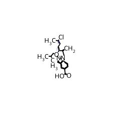 C=C(Cn1ncc2cc(C(=O)O)ccc21)/C(=C\C=C(/C)Cl)OCC(C)C